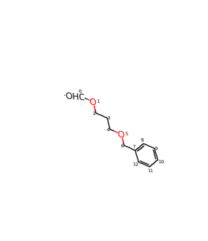 O=[C]OCCCOCc1ccccc1